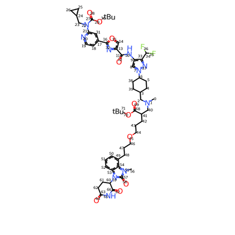 CN(CC1CCC(n2cc(NC(=O)c3coc(-c4ccnc(N(CC5CC5)C(=O)OC(C)(C)C)c4)n3)c(C(F)F)n2)CC1)CC(CCCOCCCc1cccc2c1n(C)c(=O)n2C1CCC(=O)NC1=O)C(=O)OC(C)(C)C